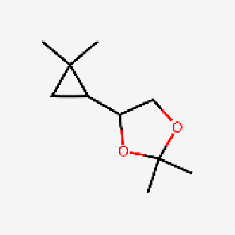 CC1(C)OCC(C2CC2(C)C)O1